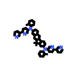 Cc1ccccc1N(c1ccc(-c2cccnc2)nc1)c1ccc2c(c1)C(C)(C)c1cc3cc(N(c4ccc(-c5cccnc5)nc4)c4ccccc4C)ccc3cc1-2